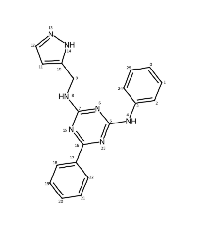 c1ccc(Nc2nc(NCc3ccn[nH]3)nc(-c3ccccc3)n2)cc1